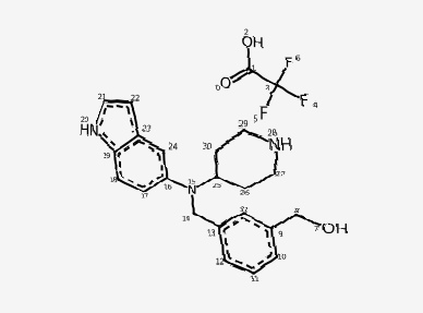 O=C(O)C(F)(F)F.OCc1cccc(CN(c2ccc3[nH]ccc3c2)C2CCNCC2)c1